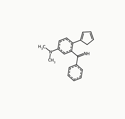 CN(C)c1ccc(C2=CC=CC2)c(C(=N)c2ccccc2)c1